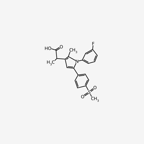 Cc1c(C(C)C(=O)O)cc(-c2ccc(S(C)(=O)=O)cc2)n1-c1cccc(F)c1